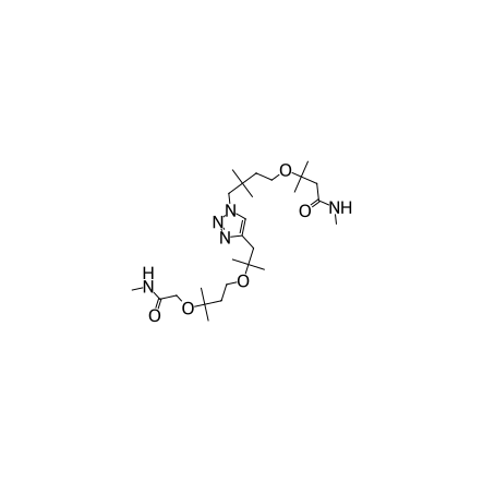 CNC(=O)COC(C)(C)CCOC(C)(C)Cc1cn(CC(C)(C)CCOC(C)(C)CC(=O)NC)nn1